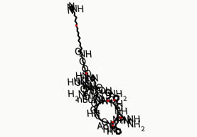 CCCC[C@H](NC(=O)[C@H](CO)NC(=O)[C@H](Cc1c[nH]cn1)NC(=O)[C@@H](CCC(N)=O)NC(=O)[C@H](CO)NC(=O)CNC(=O)COCCOCCNC(=O)CCCCCCCCCCCCCCCc1nnn[nH]1)C(=O)N[C@H]1CCC(=O)NCCCC[C@@H](C(C)=O)NC(=O)[C@H](Cc2c[nH]c3ccccc23)NC(=O)[C@H](CCCNC(=N)N)NC(=O)[C@@H](Cc2ccccc2)NC(=O)[C@H](CCC(N)=O)NC1=O